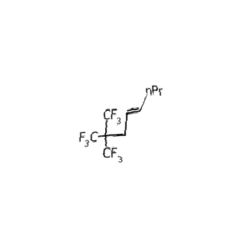 CCCC=CCC(C(F)(F)F)(C(F)(F)F)C(F)(F)F